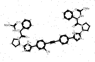 COC(=O)N[C@@H](C(=O)N1CCC[C@H]1c1ncc(-c2ccc(C#Cc3ccc(-c4cnc([C@@H]5CCCN5C(=O)[C@H](NC(=O)OC)c5ccccc5)[nH]4)cc3C#N)cc2)[nH]1)c1ccccc1